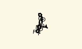 CC1CC1COc1c(N2CCN(S(=O)(=O)Cc3ccccc3)CC2)cnn(-c2cc(F)cc(F)c2)c1=O